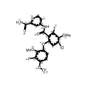 COc1c(Cl)cc(Oc2ccc(OC(F)(F)F)c(F)c2OC)c(C(=O)Nc2ccnc(C(N)=O)c2)c1F